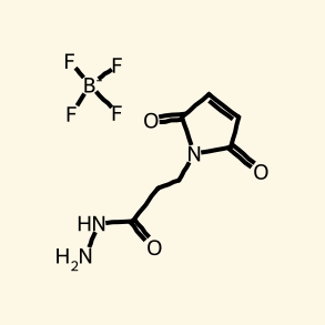 F[B-](F)(F)F.NNC(=O)CCN1C(=O)C=CC1=O